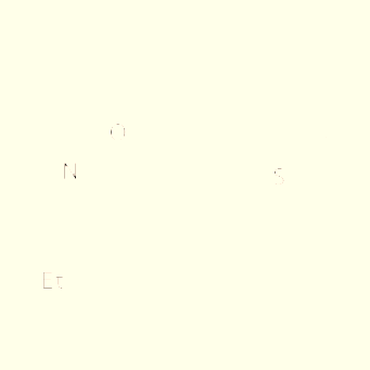 CCc1cc(-c2cccs2)on1